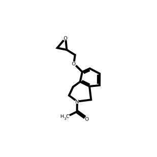 CC(=O)N1CCc2c(cccc2OCC2CO2)C1